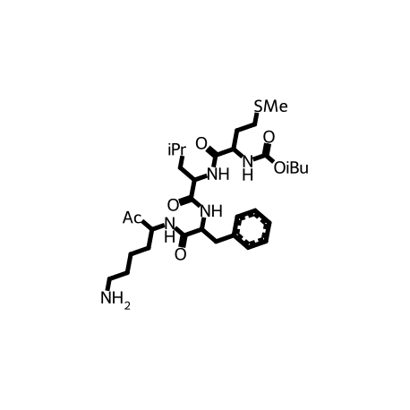 CSCCC(NC(=O)OCC(C)C)C(=O)NC(CC(C)C)C(=O)NC(Cc1ccccc1)C(=O)NC(CCCCN)C(C)=O